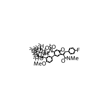 [2H]C([2H])([2H])C(NC(=O)c1cc(-c2cc3c(C(=O)NC)c(-c4ccc(F)cc4)oc3cc2N(CC)S(C)(=O)=O)ccc1OC)(C([2H])([2H])[2H])C([2H])([2H])[2H]